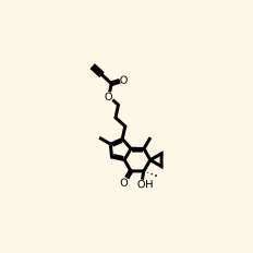 C#CC(=O)OCCCC1=C(C)C=C2C(=O)[C@](C)(O)C3(CC3)C(C)=C21